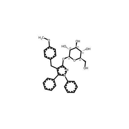 COc1ccc(Cc2c(O[C@@H]3O[C@H](CO)[C@@H](O)[C@H](O)[C@H]3O)nn(-c3ccccc3)c2-c2ccccc2)cc1